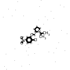 CC(C)N1CCC[C@H]1COc1cc([N+](=O)[O-])ccc1Cl